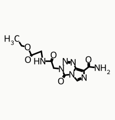 CCOC(=O)CNC(=O)Cn1nnc2c(C(N)=O)ncn2c1=O